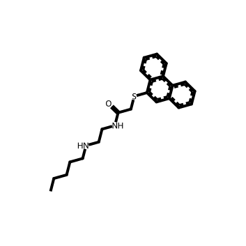 CCCCCNCCNC(=O)CSc1cc2ccccc2c2ccccc12